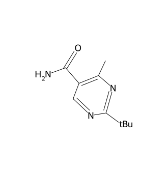 Cc1nc(C(C)(C)C)ncc1C(N)=O